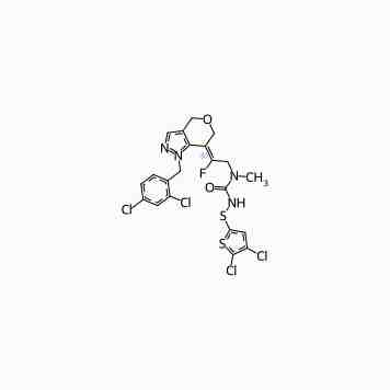 CN(C/C(F)=C1\COCc2cnn(Cc3ccc(Cl)cc3Cl)c21)C(=O)NSc1cc(Cl)c(Cl)s1